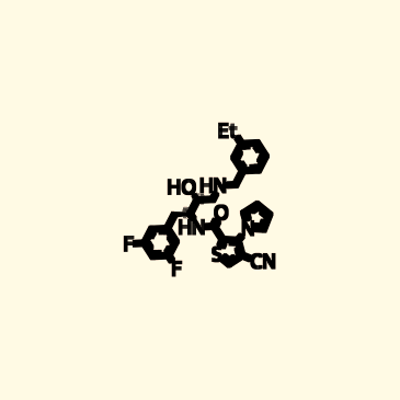 CCc1cccc(CNC[C@H](O)[C@H](Cc2cc(F)cc(F)c2)NC(=O)c2scc(C#N)c2-n2cccc2)c1